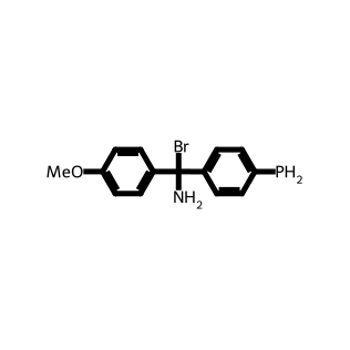 COc1ccc(C(N)(Br)c2ccc(P)cc2)cc1